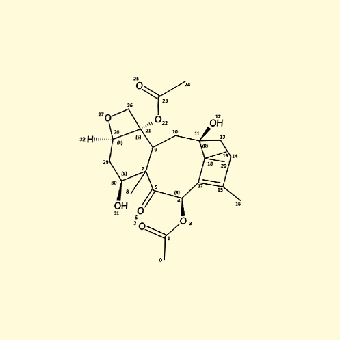 CC(=O)O[C@H]1C(=O)C2(C)C(C[C@]3(O)CCC(C)=C1C3(C)C)[C@]1(OC(C)=O)CO[C@@H]1C[C@@H]2O